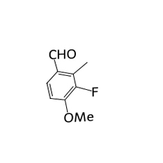 COc1ccc(C=O)c(C)c1F